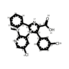 COc1ncc(Cl)cc1-n1c(-c2ccccc2)nc(C(=O)O)c1-c1cccc(Cl)c1